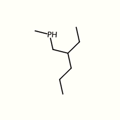 CCCC(CC)CPC